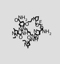 CCn1nc(C)cc1C(=O)Nc1nc2cc(C(N)=O)cnc2n1C/C=C/Cn1c(NC(=O)c2cc(C)nn2CC)nc2cc(C(N)=O)cc(OCCCN3CCC[C@H]3COC(F)F)c21